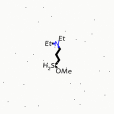 CCN(CC)CCC[SiH2]OC